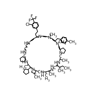 CC[C@H](C)[C@H]1CN[C@@H](C)C(C)NCC2[C@H](C)CN2[C@@H](C2CCCC2)C(C)NC2(CCCC2)CNCCNC=CC(CCc2ccc(C(F)(F)F)c(Cl)c2)=NC=CN(C)C=C(Cc2ccc(C)cc2)N(C)C=C2CCCN2CC(C)N1